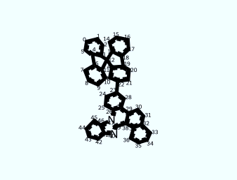 c1ccc2c(c1)-c1ccccc1C21c2ccccc2-c2ccc(-c3ccc4c(c3)c3ccc5ccccc5c3c3nc5ccccc5n43)cc21